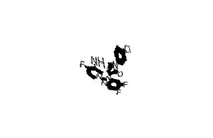 N[C@@H]1CN(c2nc3cc(F)c(F)cc3n2[C@H]2CCN(c3ccc(Cl)cc3)C2=O)CC[C@H]1F